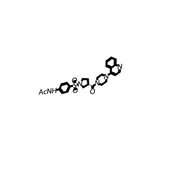 CC(=O)Nc1ccc(S(=O)(=O)N2CC[C@H](C(=O)N3CCN(c4ccnc5ccccc45)CC3)C2)cc1